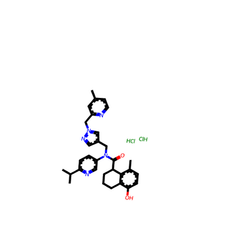 Cc1ccnc(Cn2cc(CN(C(=O)C3CCCc4c(O)ccc(C)c43)c3ccc(C(C)C)nc3)cn2)c1.Cl.Cl